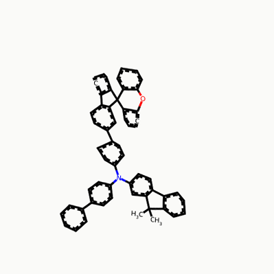 CC1(C)c2ccccc2-c2ccc(N(c3ccc(-c4ccccc4)cc3)c3ccc(-c4ccc5c(c4)C4(c6ccccc6Oc6ccccc64)c4ccccc4-5)cc3)cc21